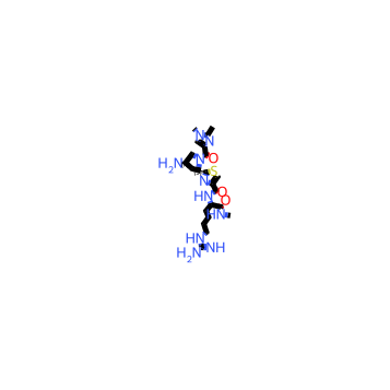 CNC(=O)C(CCCCNC(=N)N)NC(=O)c1csc([C@@H]2C[C@@H](N)CN2C(=O)c2cn(C)c(C)n2)n1